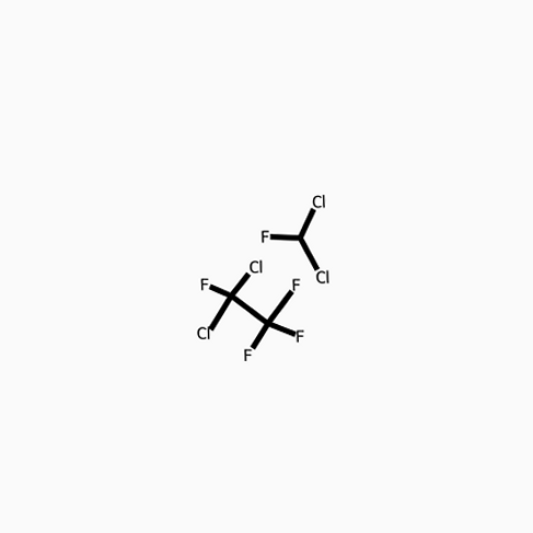 FC(Cl)Cl.FC(F)(F)C(F)(Cl)Cl